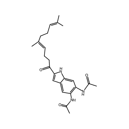 CC(=O)Nc1cc2cc(C(=O)CC/C=C(\C)CCC=C(C)C)[nH]c2cc1NC(C)=O